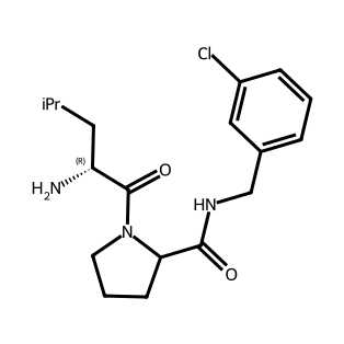 CC(C)C[C@@H](N)C(=O)N1CCCC1C(=O)NCc1cccc(Cl)c1